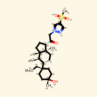 CCC[C@H]1[C@@H]2CC[C@H](C(=O)Cn3cc(S(C)(=O)=O)cn3)[C@@]2(C)CC[C@@H]1[C@]1(COC)CC[C@](C)(O)CC1